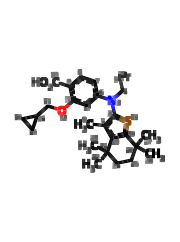 Cc1c(N(CC(C)C)c2ccc(C(=O)O)c(OCC3CC3)c2)sc2c1C(C)(C)CCC2(C)C